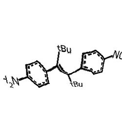 CC(C)(C)/C(=C(\c1ccc([N+](=O)[O-])cc1)C(C)(C)C)c1ccc(N)cc1